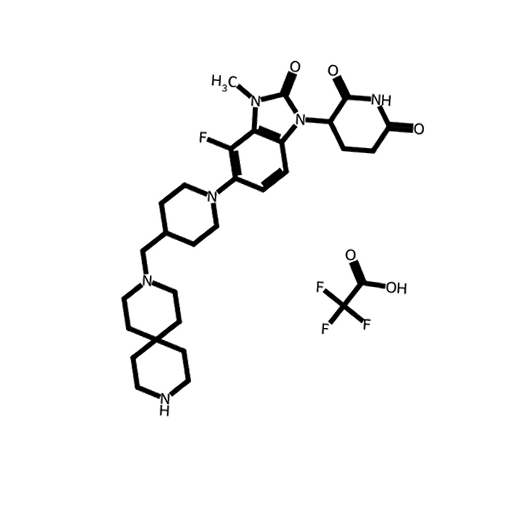 Cn1c(=O)n(C2CCC(=O)NC2=O)c2ccc(N3CCC(CN4CCC5(CCNCC5)CC4)CC3)c(F)c21.O=C(O)C(F)(F)F